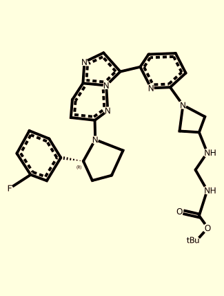 CC(C)(C)OC(=O)NCNC1CN(c2cccc(-c3cnc4ccc(N5CCC[C@@H]5c5cccc(F)c5)nn34)n2)C1